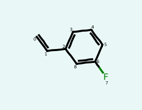 C=Cc1cc[c]c(F)c1